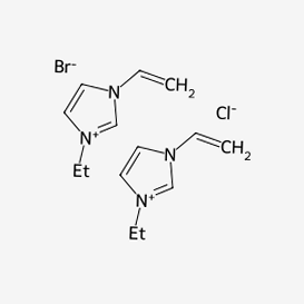 C=Cn1cc[n+](CC)c1.C=Cn1cc[n+](CC)c1.[Br-].[Cl-]